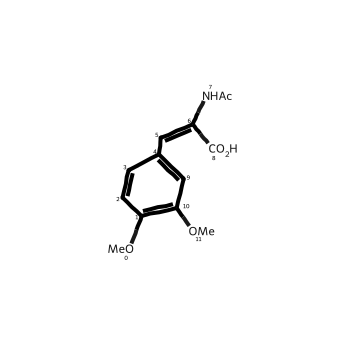 COc1ccc(C=C(NC(C)=O)C(=O)O)cc1OC